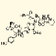 CCCC(=O)OCN(C(=O)[C@@H](NC(=O)[C@H]1CCCCN1C)C(C)CC)[C@H](C[C@@H](OC(C)=O)c1nc(C(=O)N[C@@H](Cc2ccc(O)cc2)C[C@H](C)C(=O)C(C)C)cs1)C(C)C